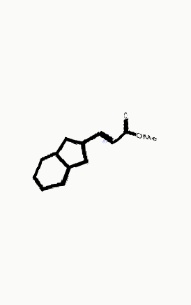 COC(=O)/C=C/C1CC2CCCCC2C1